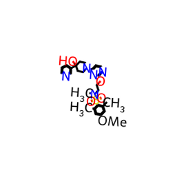 COc1cc(C)c(S(=O)(=O)N(C)CCOc2nccc(N3CCC(O)(c4cccnc4)CC3)n2)c(C)c1